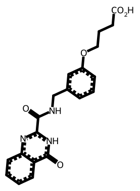 O=C(O)CCCOc1cccc(CNC(=O)c2nc3ccccc3c(=O)[nH]2)c1